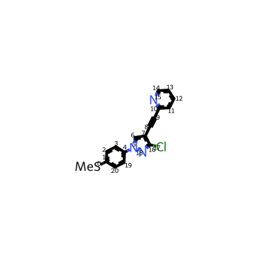 CSc1ccc(-n2cc(C#Cc3ccccn3)c(Cl)n2)cc1